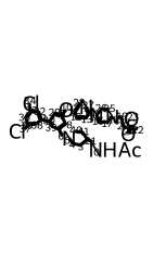 CC(=O)NCC1CCN(Cc2cc(Oc3ccc(N4CCN(CCS(C)(=O)=O)CC4)nc3)cc(-c3cc(Cl)cc(Cl)c3)c2)CC1